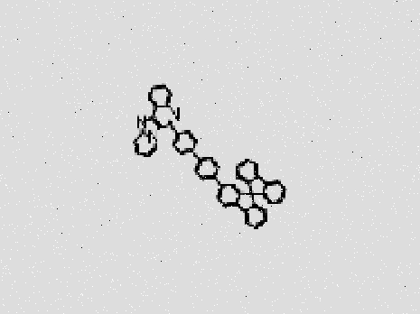 c1ccc2c(c1)-c1ccccc1C21c2ccccc2-c2ccc(-c3ccc(-c4ccc(-c5nc6ccccc6c6nc7ccccn7c56)cc4)cc3)cc21